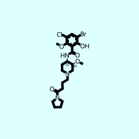 COc1c(Cl)cc(Br)c(O)c1C(=O)N[C@H]1CCN(CCCC(=O)N2CCCC2)C[C@H]1OC